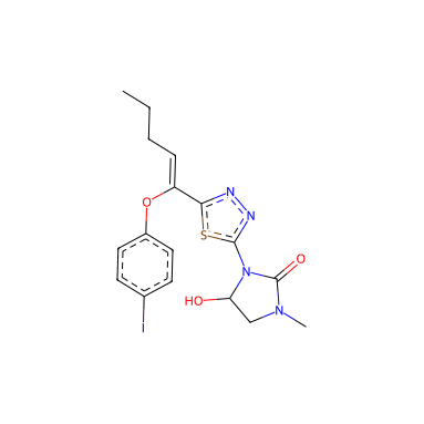 CCC/C=C(\Oc1ccc(I)cc1)c1nnc(N2C(=O)N(C)CC2O)s1